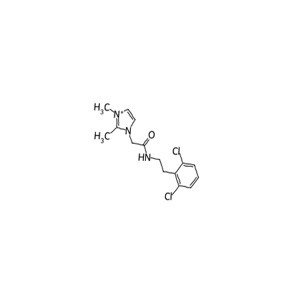 Cc1n(CC(=O)NCCc2c(Cl)cccc2Cl)cc[n+]1C